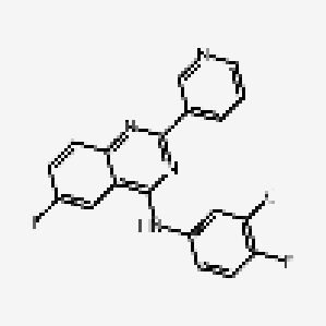 Fc1ccc(Nc2nc(-c3cccnc3)nc3ccc(I)cc23)cc1Cl